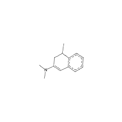 CC1CC(N(C)C)=Cc2ccccc21